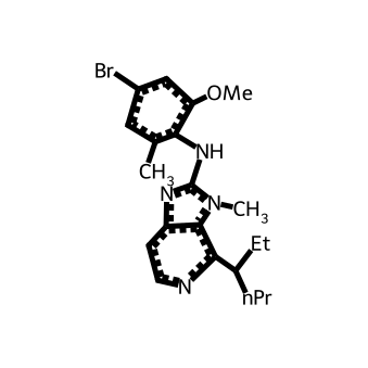 CCCC(CC)c1nccc2nc(Nc3c(C)cc(Br)cc3OC)n(C)c12